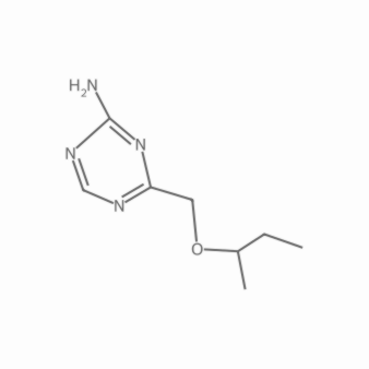 CCC(C)OCc1ncnc(N)n1